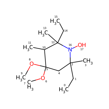 CCC1(C)CC(OC)(OC)C(C)C(C)(CC)N1O